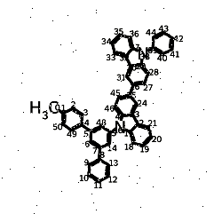 Cc1ccc(-c2cc(-c3ccccc3)cc(-n3c4ccccc4c4cc(-c5ccc6c(c5)c5ccccc5n6-c5ccccc5)ccc43)c2)cc1